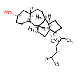 CCC(CCC(C)[C@H]1CC[C@H]2[C@@H]3CC[C@H]4C[C@@H](O)CC[C@]4(C)[C@H]3CC[C@]12C)C(C)C